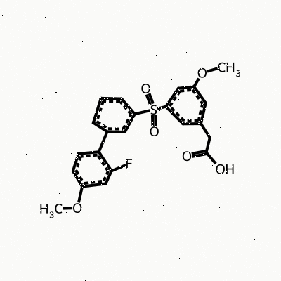 COc1cc(CC(=O)O)cc(S(=O)(=O)c2cccc(-c3ccc(OC)cc3F)c2)c1